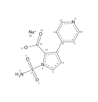 NS(=O)(=O)n1ccc(-c2ccncc2)c1C(=O)[O-].[Na+]